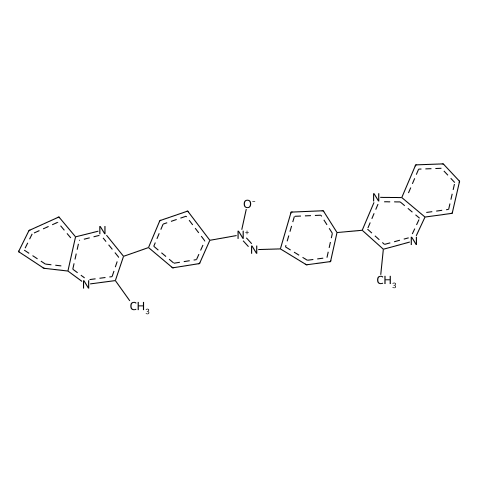 Cc1nc2ccccc2nc1-c1ccc(/N=[N+](\[O-])c2ccc(-c3nc4ccccc4nc3C)cc2)cc1